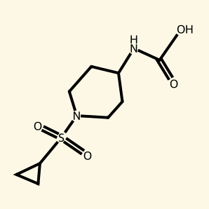 O=C(O)NC1CCN(S(=O)(=O)C2CC2)CC1